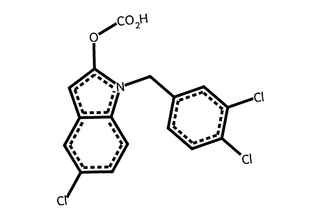 O=C(O)Oc1cc2cc(Cl)ccc2n1Cc1ccc(Cl)c(Cl)c1